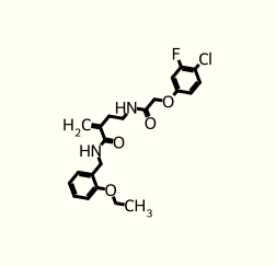 C=C(CCNC(=O)COc1ccc(Cl)c(F)c1)C(=O)NCc1ccccc1OCC